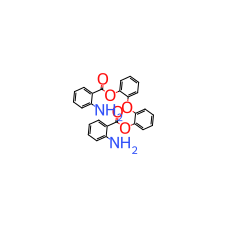 Nc1ccccc1C(=O)Oc1ccccc1Oc1ccccc1OC(=O)c1ccccc1N